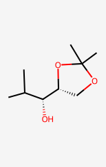 CC(C)[C@@H](O)[C@H]1COC(C)(C)O1